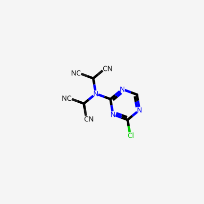 N#CC(C#N)N(c1ncnc(Cl)n1)C(C#N)C#N